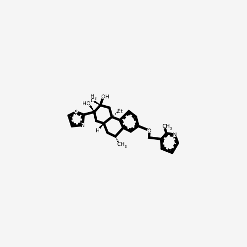 CC[C@@]12C[C@@](C)(O)[C@@](O)(c3nccs3)C[C@H]1C[C@@H](C)c1cc(OCc3cccnc3C)ccc12